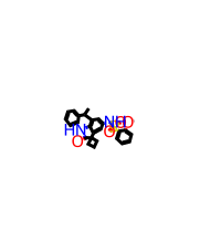 COc1ccccc1S(=O)(=O)Nc1cc(C(C)c2ccccc2)c2c(c1)C1(CCC1)C(=O)N2